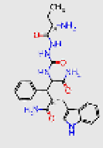 CC[C@H](N)C(=O)NNC(=O)NC(C(N)=O)C(c1ccccc1)[C@H](Cc1c[nH]c2ccccc12)C(N)=O